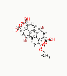 CCOC(=O)c1ccc2c3c(Br)cc(C(=O)O)c4c(C(=O)O)ccc(c5c(Br)cc(C(=O)O)c1c25)c43